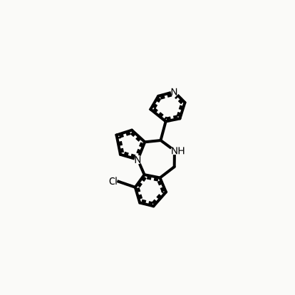 Clc1cccc2c1-n1cccc1C(c1ccncc1)NC2